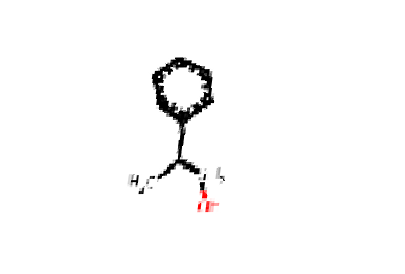 CC([SiH2]O)c1ccccc1